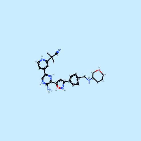 CC(C)(C#N)c1cc(-c2cnc(N)c(-c3cc(-c4ccc(CNC5CCCOC5)cc4)no3)n2)ccn1